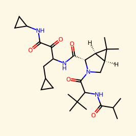 CC(C)C(=O)NC(C(=O)N1C[C@H]2[C@@H]([C@H]1C(=O)NC(CC1CC1)C(=O)C(=O)NC1CC1)C2(C)C)C(C)(C)C